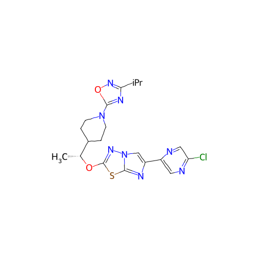 CC(C)c1noc(N2CCC([C@@H](C)Oc3nn4cc(-c5cnc(Cl)cn5)nc4s3)CC2)n1